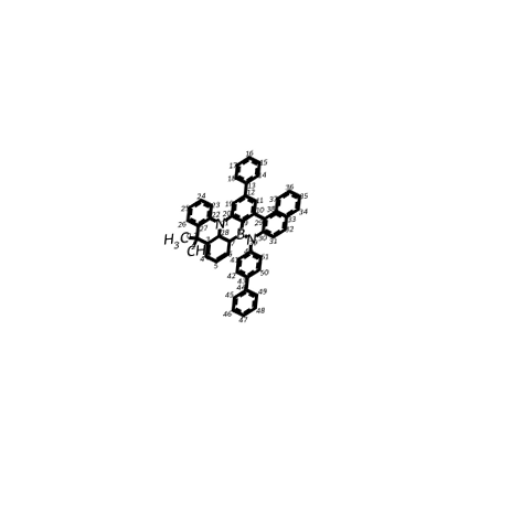 CC1(C)C2=CC=CC3B4c5c(cc(-c6ccccc6)cc5N(c5ccccc51)C23)-c1c(ccc2ccccc12)N4c1ccc(-c2ccccc2)cc1